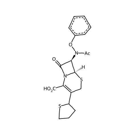 CC(=O)N(Oc1ccccc1)[C@@H]1C(=O)N2C(C(=O)O)=C(C3CCCS3)CS[C@H]12